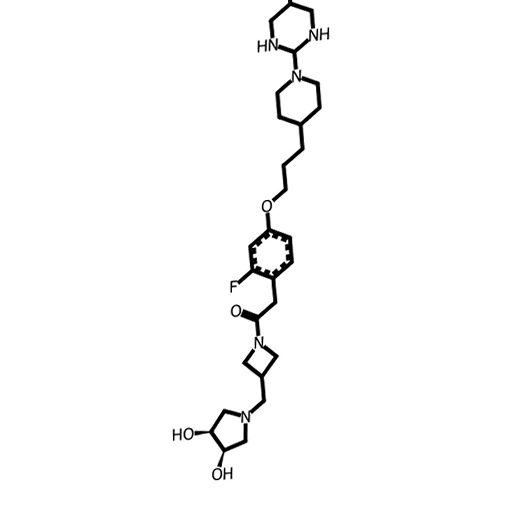 O=C(Cc1ccc(OCCCC2CCN(C3NCC(Cl)CN3)CC2)cc1F)N1CC(CN2C[C@@H](O)[C@@H](O)C2)C1